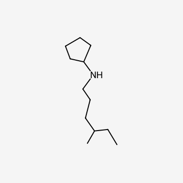 CCC(C)CCCNC1CCCC1